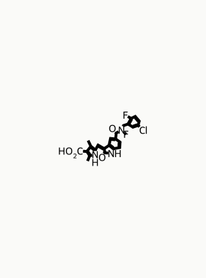 Cc1[nH]c(C=C2C(=O)Nc3ccc(C(=O)N(F)Cc4cc(Cl)ccc4F)cc32)c(C)c1C(=O)O